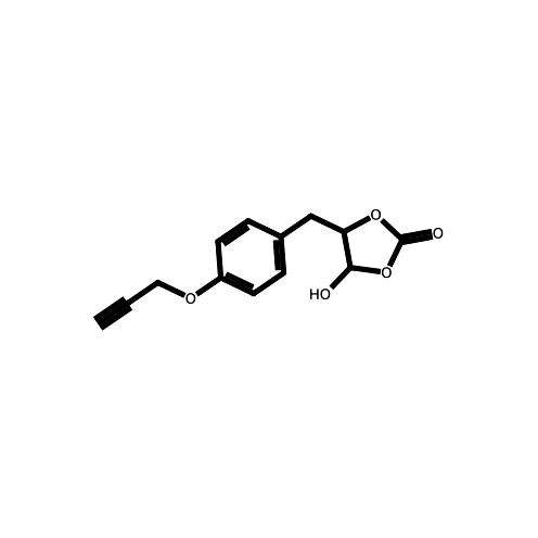 C#CCOc1ccc(CC2OC(=O)OC2O)cc1